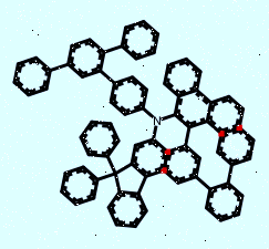 c1ccc(-c2ccc(-c3ccccc3)c(-c3ccc(N(c4ccc5c(c4)C(c4ccccc4)(c4ccccc4)c4ccccc4-5)c4c(-c5cccc(-c6ccccc6-c6ccccc6)c5)c5ccccc5c5ccccc45)cc3)c2)cc1